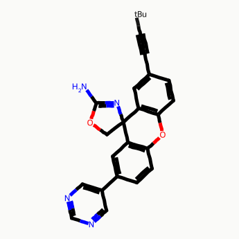 CC(C)(C)C#Cc1ccc2c(c1)C1(COC(N)=N1)c1cc(-c3cncnc3)ccc1O2